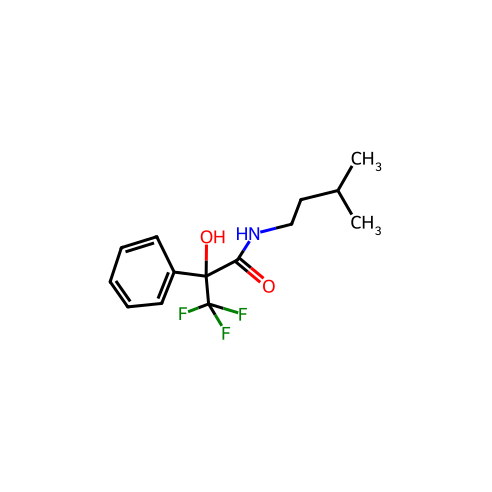 CC(C)CCNC(=O)C(O)(c1ccccc1)C(F)(F)F